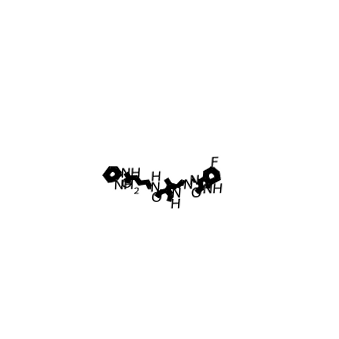 Cc1[nH]c(C=NN=C2C(=O)Nc3ccc(F)cc32)c(C)c1C(=O)NCCCCC(=O)Nc1ccccc1N